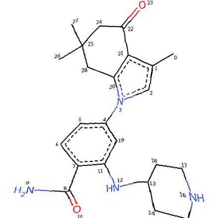 Cc1cn(-c2ccc(C(N)=O)c(NC3CCNCC3)c2)c2c1C(=O)CC(C)(C)C2